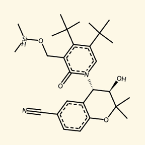 C[SiH](C)OCc1c(C(C)(C)C)c(C(C)(C)C)cn([C@H]2c3cc(C#N)ccc3OC(C)(C)[C@@H]2O)c1=O